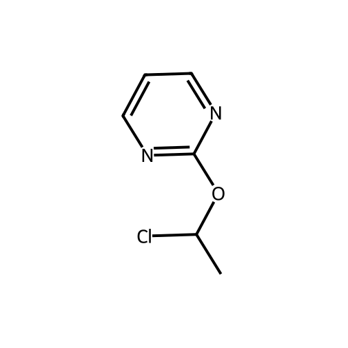 CC(Cl)Oc1ncccn1